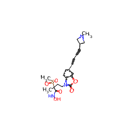 CN1CC(C#CC#Cc2ccc3c(c2)oc(=O)n3CCC(C)(C(=O)NO)S(C)(=O)=O)C1